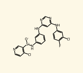 [O-][S+](Nc1cccc(Nc2cc(Nc3ccc(F)c(Cl)c3)ncn2)c1)c1cnccc1Cl